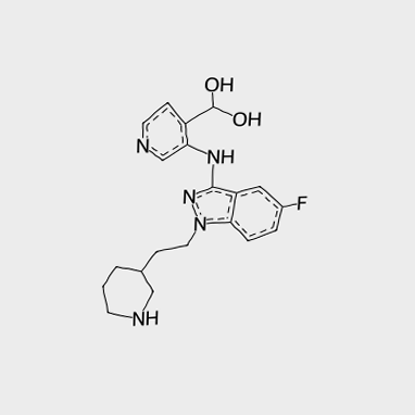 OC(O)c1ccncc1Nc1nn(CCC2CCCNC2)c2ccc(F)cc12